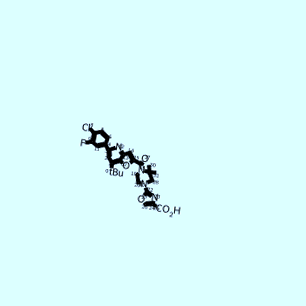 CC(C)(C)c1cc(-c2ccc(Cl)c(F)c2)nc2cc(C(=O)N3CCN(c4nc(C(=O)O)co4)CC3(C)C)oc12